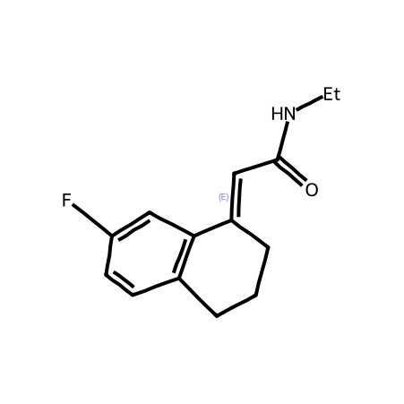 CCNC(=O)/C=C1\CCCc2ccc(F)cc21